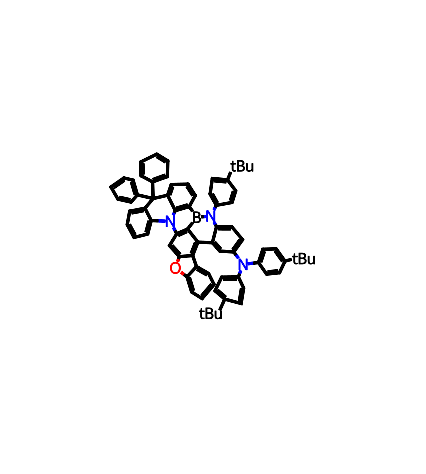 CC(C)(C)c1ccc(N2B3c4cccc5c4N(c4ccccc4C5(c4ccccc4)c4ccccc4)c4cc5oc6ccccc6c5c(c43)-c3cc(N(c4ccc(C(C)(C)C)cc4)c4ccc(C(C)(C)C)cc4)ccc32)cc1